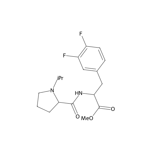 COC(=O)C(Cc1ccc(F)c(F)c1)NC(=O)C1CCCN1C(C)C